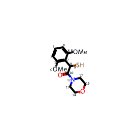 COc1cccc(OC)c1C(S)C(=O)N1CCOCC1